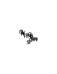 C[C@H]1CCCN1Cc1cc2cnc(NC(=O)c3ccc(-c4cnn(C5CCCCO5)c4)cc3)cc2n1COCC[Si](C)(C)C